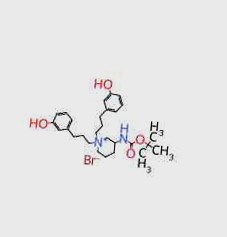 CC(C)(C)OC(=O)NC1CCC[N+](CCCc2cccc(O)c2)(CCCc2cccc(O)c2)C1.[Br-]